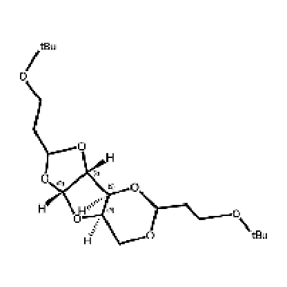 CC(C)(C)OCCC1OC[C@H]2O[C@@H]3OC(CCOC(C)(C)C)O[C@@H]3[C@H]2O1